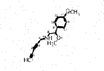 C#CC#CCNCC(OC)c1ccc(OC)cc1